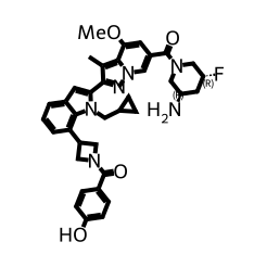 COc1cc(C(=O)N2C[C@H](N)C[C@@H](F)C2)cn2nc(-c3cc4cccc(C5CN(C(=O)c6ccc(O)cc6)C5)c4n3CC3CC3)c(C)c12